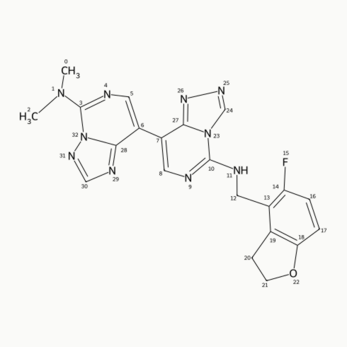 CN(C)c1ncc(-c2cnc(NCc3c(F)ccc4c3CCO4)n3cnnc23)c2ncnn12